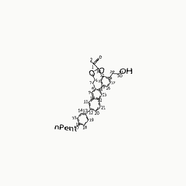 C=C(C)C(=O)OCCc1cc2cc(-c3ccc(CCCCC)cc3)ccc2cc1-c1ccc(CCO)cc1